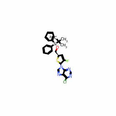 CC(C)(C)[Si](OC[C@H]1C=C(F)[C@@H](n2cnc3c(Cl)ncnc32)S1)(c1ccccc1)c1ccccc1